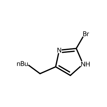 CCCCCc1c[nH]c(Br)n1